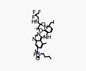 CCCC/[SH](=O)=N\c1cc(C)c2c(Nc3ccc(CI)nc3O[C@H](C)C(=O)NCC(F)(F)F)ncnc2c1